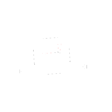 C[C@]12CC/C=C\[C@H](CC1)OC2=O